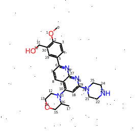 COc1ccc(-c2ccc3c(N4CCOCC4C)cc(N4CCNCC4)nc3n2)cc1CO